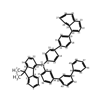 CC1(C)c2ccccc2-c2c(N(c3ccc(-c4ccc(-c5cccc6ccccc56)cc4)cc3)c3cccc(-c4cccc(-c5ccccc5)c4)c3)cccc21